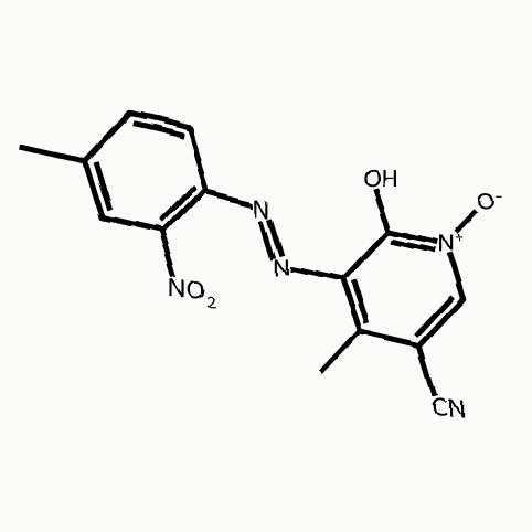 Cc1ccc(N=Nc2c(C)c(C#N)c[n+]([O-])c2O)c([N+](=O)[O-])c1